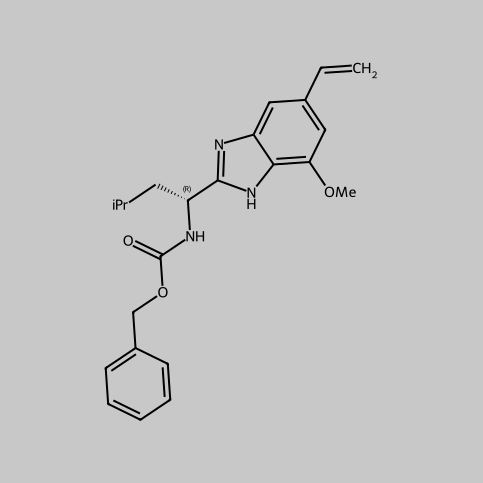 C=Cc1cc(OC)c2[nH]c([C@@H](CC(C)C)NC(=O)OCc3ccccc3)nc2c1